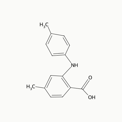 Cc1ccc(Nc2cc(C)ccc2C(=O)O)cc1